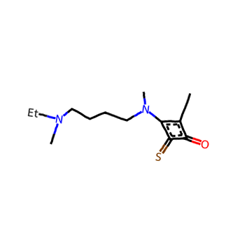 CCN(C)CCCCN(C)c1c(C)c(=O)c1=S